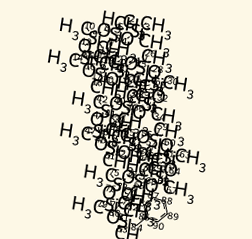 C[Si](C)(C)O[Si](C)(C)O[Si](C)(C)O[Si](C)(C)O[Si](C)(C)O[Si](C)(C)O[Si](C)(C)O[Si](C)(C)O[Si](C)(C)O[Si](C)(C)O[Si](C)(C)O[Si](C)(C)O[Si](C)(C)O[Si](C)(C)O[Si](C)(C)O[Si](C)(C)O[Si](C)(C)O[Si](C)(C)O[Si](C)(C)O[Si](C)(C)O[Si](C)(C)Cc1ccccc1